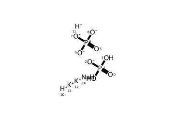 O=P([O-])(O)O.O=P([O-])([O-])[O-].[H+].[H+].[K+].[K+].[NaH]